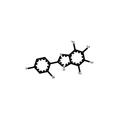 [2H]c1c([2H])c([2H])c2[nH]c(-c3ccc(F)cc3Br)nc2c1[2H]